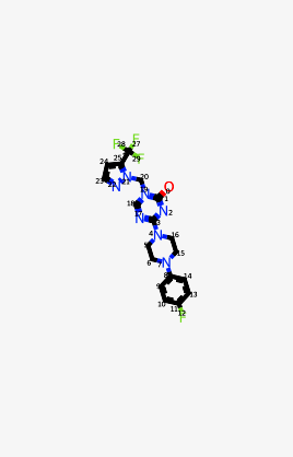 O=c1nc(N2CCN(c3ccc(F)cc3)CC2)ncn1Cn1nccc1C(F)(F)F